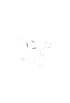 OCC1CCCCN(C(c2ccc(Cl)cc2)C2CCC2)C1